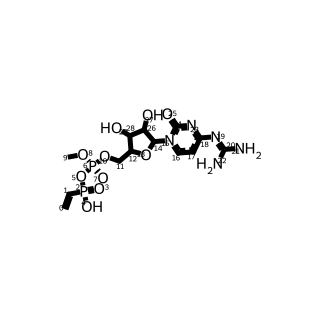 C=CP(=O)(O)OP(=O)(OC)OCC1OC(n2ccc(N=C(N)N)nc2=O)C(O)C1O